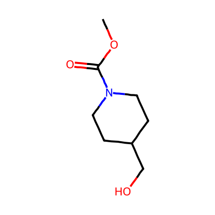 COC(=O)N1CCC(CO)CC1